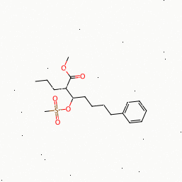 CCCC(C(=O)OC)C(CCCCc1ccccc1)OS(C)(=O)=O